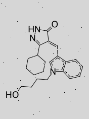 O=C1NN=C(C2CCCCC2)/C1=C\c1cn(CCCCO)c2ccccc12